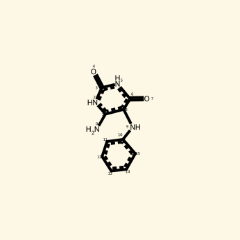 Nc1[nH]c(=O)[nH]c(=O)c1Nc1ccccc1